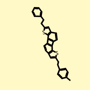 Cc1ccc(CCc2cc3ccc4c(c3s2)-c2ccc3cc(CCc5ccccc5)sc3c2-4)cc1